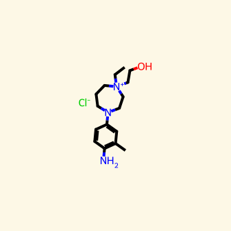 CC[N+]1(CCO)CCCN(c2ccc(N)c(C)c2)CC1.[Cl-]